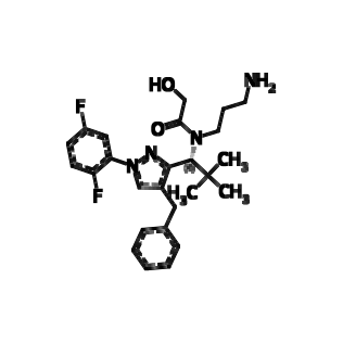 CC(C)(C)[C@H](c1nn(-c2cc(F)ccc2F)cc1Cc1ccccc1)N(CCCN)C(=O)CO